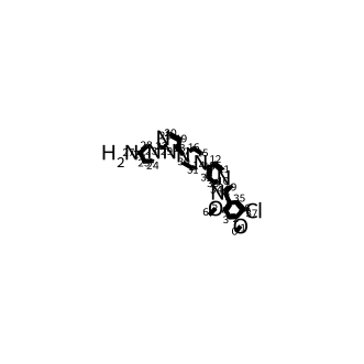 COc1cc(OC)c(-c2cn3ccc(N4CCN(c5ccnc(N6CCC(N)C6)n5)CC4)cc3n2)cc1Cl